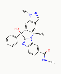 CCn1c(C(O)(c2ccccc2)c2ccc3cnn(C)c3c2)nc2ccc(C(=O)NC)cc21